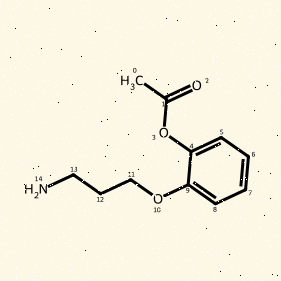 CC(=O)Oc1ccccc1OCCCN